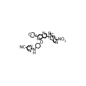 Cn1c(CN(c2cnc3cc(N4CCOCC4)nc(OC4CCC(Nc5ncc(C#N)cn5)CC4)c3c2)S(C)(=O)=O)cnc1[N+](=O)[O-]